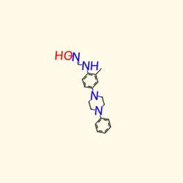 Cc1cc(N2CCN(c3ccccc3)CC2)ccc1N/C=N/O